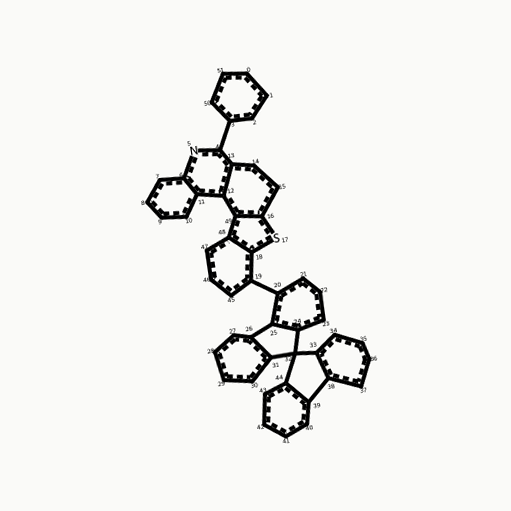 c1ccc(-c2nc3ccccc3c3c2ccc2sc4c(-c5cccc6c5-c5ccccc5C65c6ccccc6-c6ccccc65)cccc4c23)cc1